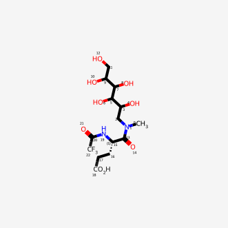 CN(CC(O)C(O)C(O)C(O)CO)C(=O)[C@H](CCC(=O)O)NC(=O)C(F)(F)F